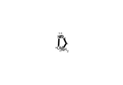 CC(C)CN.O=[N+]([O-])O